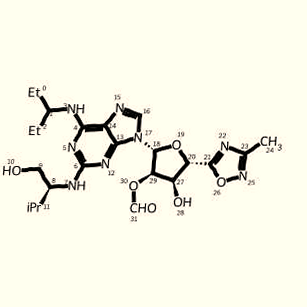 CCC(CC)Nc1nc(N[C@H](CO)C(C)C)nc2c1ncn2[C@@H]1O[C@H](c2nc(C)no2)[C@@H](O)[C@H]1OC=O